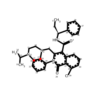 CC[C@H](NC(=O)c1c(CN2CCN(C(C)C)CC2)n(-c2ccccc2)c(=O)c2c(Cl)cccc12)c1ccccc1